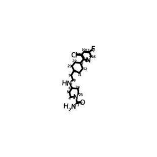 NC(=O)N1CCC(NCCC2CCC(c3ncc(F)cc3Cl)CC2)CC1